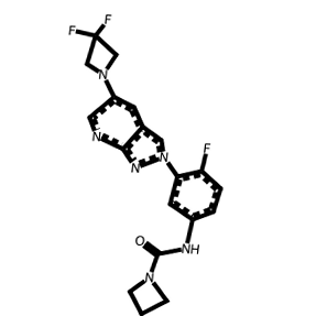 O=C(Nc1ccc(F)c(-n2cc3cc(N4CC(F)(F)C4)cnc3n2)c1)N1CCC1